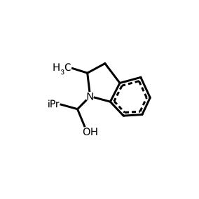 CC(C)C(O)N1c2ccccc2CC1C